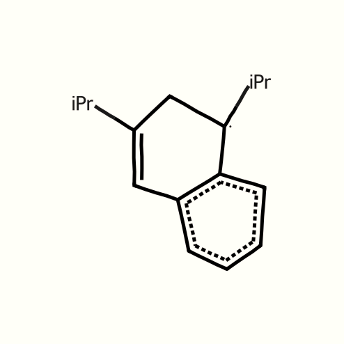 CC(C)[C]1CC(C(C)C)=Cc2ccccc21